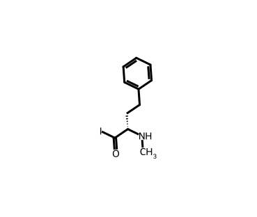 CN[C@@H](CCc1ccccc1)C(=O)I